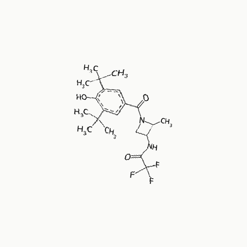 CC1C(NC(=O)C(F)(F)F)CN1C(=O)c1cc(C(C)(C)C)c(O)c(C(C)(C)C)c1